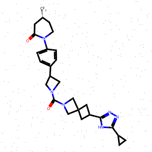 O=C(N1CC(c2ccc(N3CC[C@@H](C(F)(F)F)CC3=O)cc2)C1)N1CC2(CC(c3nnc(C4CC4)[nH]3)C2)C1